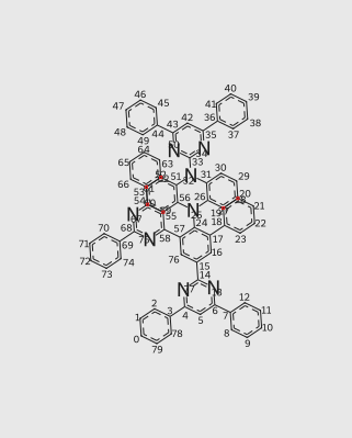 c1ccc(-c2cc(-c3ccccc3)nc(-c3cc(-c4ccccc4)c(N4c5ccccc5N(c5nc(-c6ccccc6)cc(-c6ccccc6)n5)c5ccccc54)c(-c4cc(-c5ccccc5)nc(-c5ccccc5)n4)c3)n2)cc1